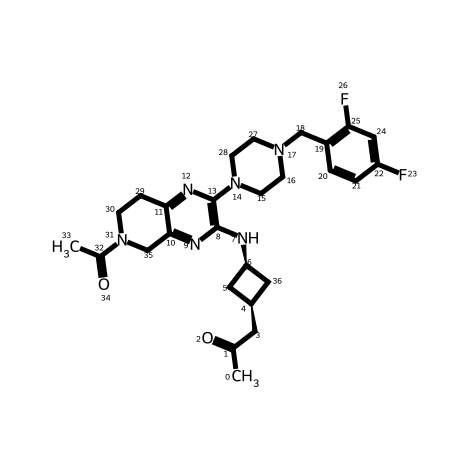 CC(=O)C[C@H]1C[C@@H](Nc2nc3c(nc2N2CCN(Cc4ccc(F)cc4F)CC2)CCN(C(C)=O)C3)C1